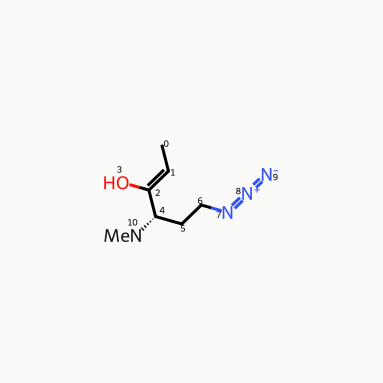 CC=C(O)[C@H](CCN=[N+]=[N-])NC